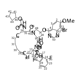 COc1ccc2c(OC3C[C@H]4C(=O)N[C@]5(P(=O)(O)Cc6c(F)cccc6F)C[C@H]5CCCCCCC[C@H](NC(=O)OC5CCCC5)C(=O)N4C3)ncnc2c1Br